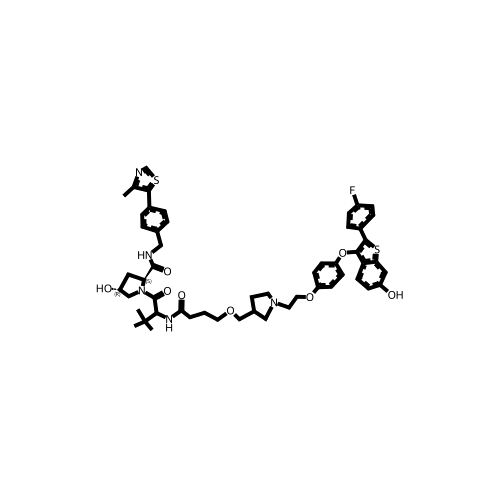 Cc1ncsc1-c1ccc(CNC(=O)[C@@H]2C[C@@H](O)CN2C(=O)C(NC(=O)CCCOCC2CCN(CCOc3ccc(Oc4c(-c5ccc(F)cc5)sc5cc(O)ccc45)cc3)C2)C(C)(C)C)cc1